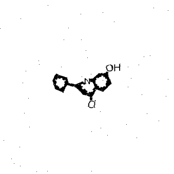 Oc1ccc2c(Cl)cc(-c3ccccc3)nc2c1